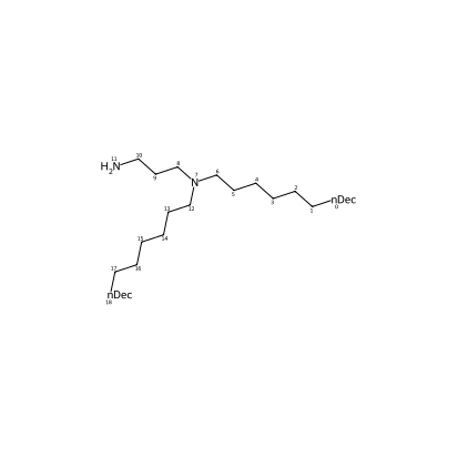 CCCCCCCCCCCCCCCCN(CCCN)CCCCCCCCCCCCCCCC